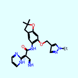 CCn1cc(COc2cc3c(cc2NC(=O)/C(C=N)=C2\N=CC=CN2)CC(C)(C)O3)cn1